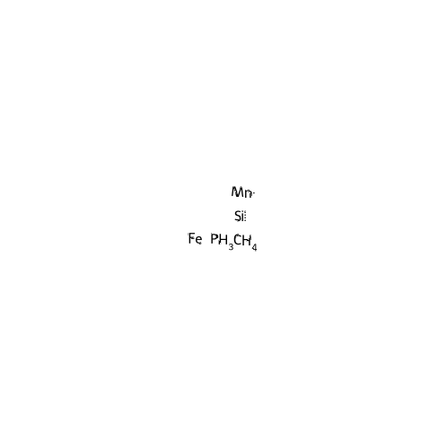 C.P.[Fe].[Mn].[Si]